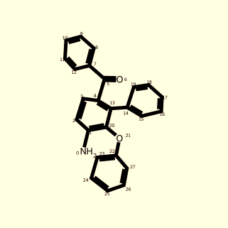 Nc1ccc(C(=O)c2ccccc2)c(-c2ccccc2)c1Oc1ccccc1